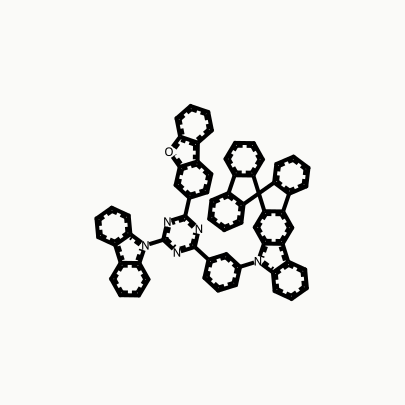 c1cc(-c2nc(-c3ccc4c(c3)oc3ccccc34)nc(-n3c4ccccc4c4ccccc43)n2)cc(-n2c3ccccc3c3cc4c(cc32)C2(c3ccccc3-c3ccccc32)c2ccccc2-4)c1